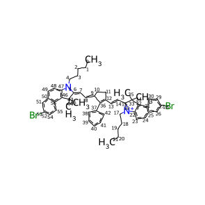 CCCCCN1/C(=C/C=C2\CCC(/C=C/C3=[N+](CCCCC)c4ccc5cc(Br)ccc5c4C3(C)C)=C2c2ccccc2)C(C)(C)c2c1ccc1cc(Br)ccc21